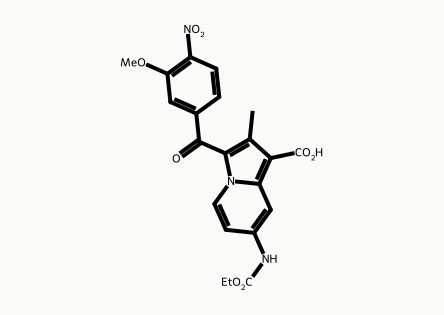 CCOC(=O)Nc1ccn2c(C(=O)c3ccc([N+](=O)[O-])c(OC)c3)c(C)c(C(=O)O)c2c1